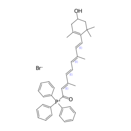 CC1=C(/C=C/C(C)=C/C=C/C(C)=C/C(=O)[P+](c2ccccc2)(c2ccccc2)c2ccccc2)C(C)(C)CC(O)C1.[Br-]